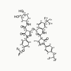 CC1=NN(c2ccc(OC(F)F)cc2)C(=O)C1C(=O)Nc1cc(C(C)(F)F)ccc1COC1=NN(c2ccc(OC(F)F)cc2)C(=O)C1C(=O)NC1CC[C@@H](O)[C@@H](O)C1